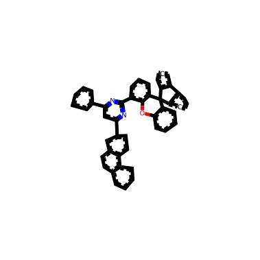 c1ccc(-c2cc(-c3ccc4c(ccc5ccccc54)c3)nc(-c3cccc4c3Oc3ccccc3C43c4ccccc4-c4ccccc43)n2)cc1